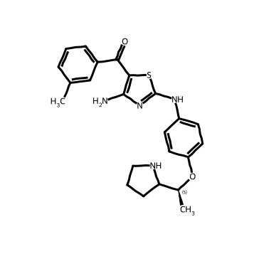 Cc1cccc(C(=O)c2sc(Nc3ccc(O[C@@H](C)C4CCCN4)cc3)nc2N)c1